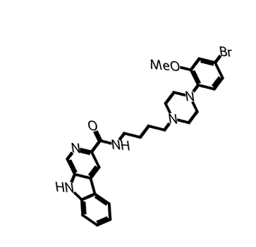 COc1cc(Br)ccc1N1CCN(CCCCNC(=O)c2cc3c(cn2)[nH]c2ccccc23)CC1